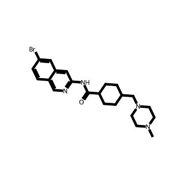 CN1CCN(CC2CCC(C(=O)Nc3cc4cc(Br)ccc4cn3)CC2)CC1